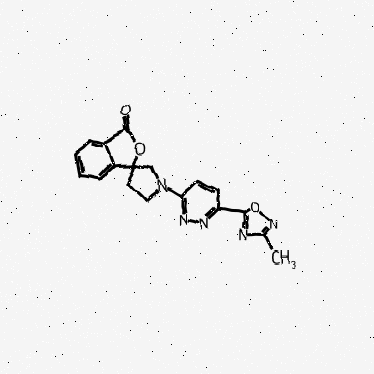 Cc1noc(-c2ccc(N3CCC4(C3)OC(=O)c3ccccc34)nn2)n1